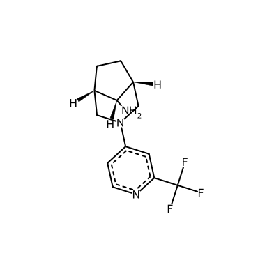 N[C@H]1[C@@H]2CC[C@H]1CN(c1ccnc(C(F)(F)F)c1)C2